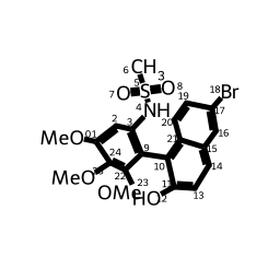 COc1cc(NS(C)(=O)=O)c(-c2c(O)ccc3cc(Br)ccc23)c(OC)c1OC